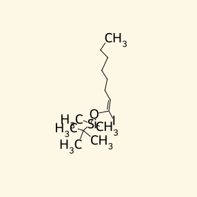 CCCCCC/C=C(/I)O[Si](C)(C)C(C)(C)C